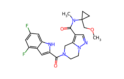 COCC1(N(C)C(=O)c2cnn3c2CN(C(=O)c2cc4c(F)cc(F)cc4[nH]2)CC3)CC1